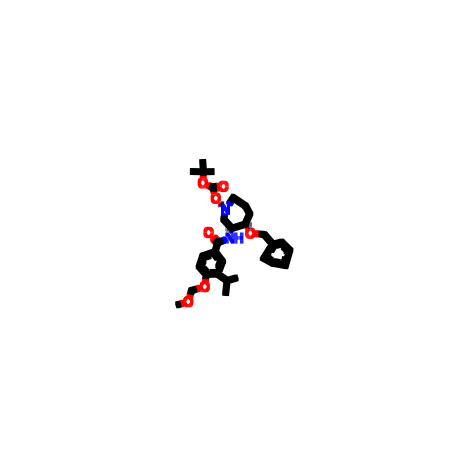 COCOc1ccc(C(=O)N[C@@H]2CN(OC(=O)OC(C)(C)C)CCC[C@H]2OCc2ccccc2)cc1C(C)C